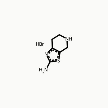 Br.Nc1nc2c(s1)CNCC2